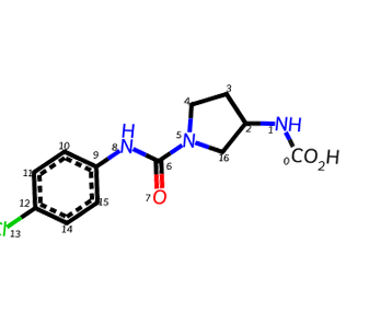 O=C(O)NC1CCN(C(=O)Nc2ccc(Cl)cc2)C1